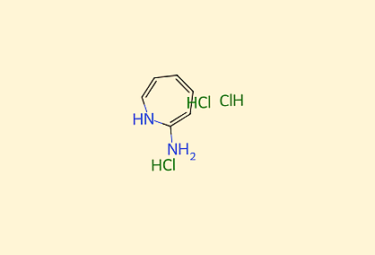 Cl.Cl.Cl.NC1=CC=CC=CN1